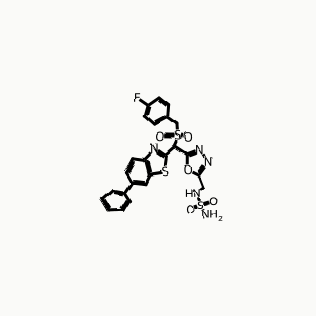 NS(=O)(=O)NCc1nnc(C(c2nc3ccc(-c4ccccc4)cc3s2)S(=O)(=O)Cc2ccc(F)cc2)o1